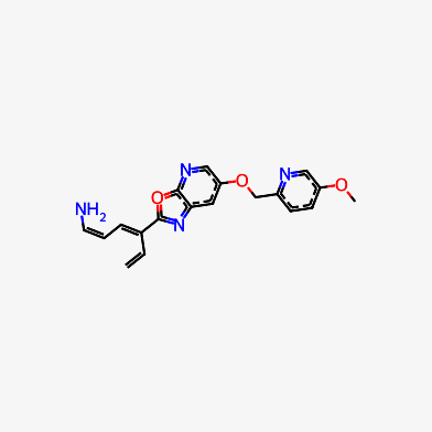 C=C/C(=C\C=C/N)c1nc2cc(OCc3ccc(OC)cn3)cnc2o1